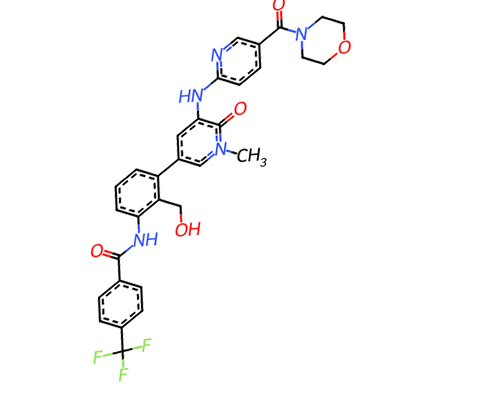 Cn1cc(-c2cccc(NC(=O)c3ccc(C(F)(F)F)cc3)c2CO)cc(Nc2ccc(C(=O)N3CCOCC3)cn2)c1=O